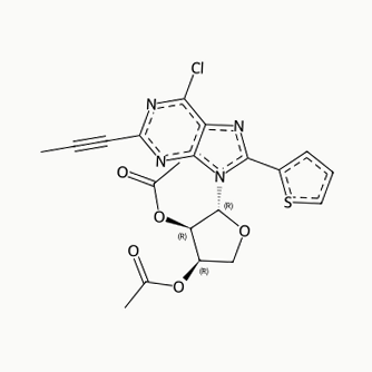 CC#Cc1nc(Cl)c2nc(-c3cccs3)n([C@@H]3OC[C@@H](OC(C)=O)[C@H]3OC(C)=O)c2n1